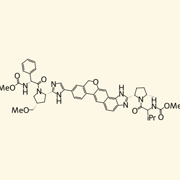 COC[C@H]1C[C@@H](c2ncc(-c3ccc4c(c3)COc3cc5c(ccc6nc([C@@H]7CC[C@H](C)N7C(=O)C(NC(=O)OC)C(C)C)[nH]c65)cc3-4)[nH]2)N(C(=O)[C@H](NC(=O)OC)c2ccccc2)C1